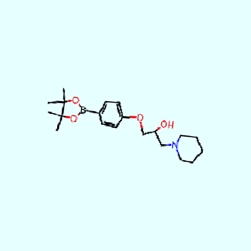 CC1(C)OB(c2ccc(OCC(O)CN3CCCCC3)cc2)OC1(C)C